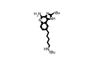 CCCCc1nc2c(N)nc3ccc(CCCCCNC(C)(C)C)cc3c2[nH]1